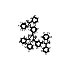 c1ccc(-c2ccccc2-c2nc(-c3cccc(-n4c(-c5ccccc5)nc5ccccc54)c3)nc(-c3cccc(-n4c(-c5ccccc5)nc5ccccc54)c3)n2)cc1